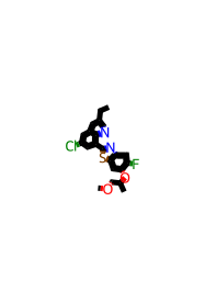 CCc1cnc2c(-c3nc4cc(F)c(OC(C)COC)cc4s3)cc(Cl)cc2c1